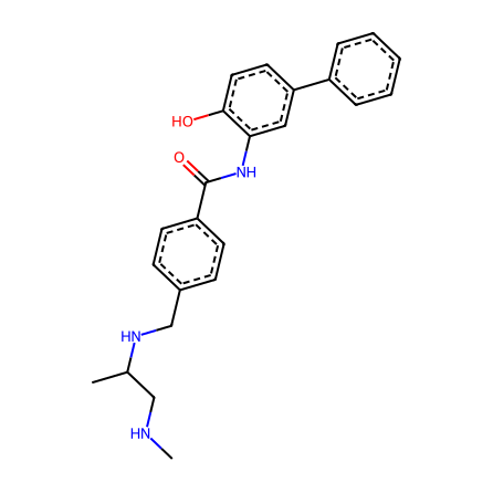 CNCC(C)NCc1ccc(C(=O)Nc2cc(-c3ccccc3)ccc2O)cc1